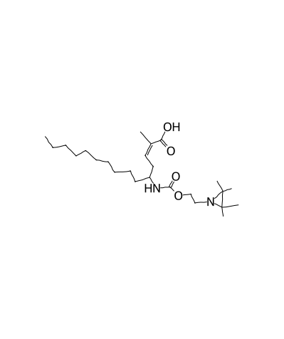 CCCCCCCCCCC(CC=C(C)C(=O)O)NC(=O)OCCN1C(C)(C)C1(C)C